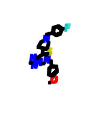 COc1ccc(CN2Cn3ncnc3-c3c2sc2c3CCN(Cc3ccc(F)cc3)C2)cc1